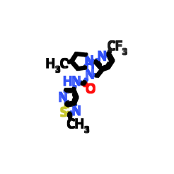 Cc1nc2cc(NC(=O)NCc3ccc(C(F)(F)F)nc3N3CCC(C)CC3)cnc2s1